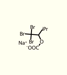 CC(C)C(OC(=O)[O-])C(Br)(Br)Br.[Na+]